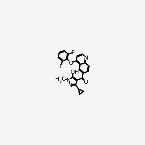 Cn1nc(C2CC2)c(C(=O)c2ccc3nccc(Oc4c(F)cccc4F)c3c2)c1O